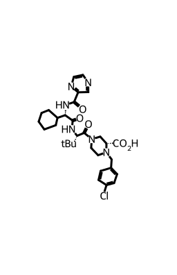 CC(C)(C)[C@H](NC(=O)[C@@H](NC(=O)c1cnccn1)C1CCCCC1)C(=O)N1CCN(Cc2ccc(Cl)cc2)[C@@H](C(=O)O)C1